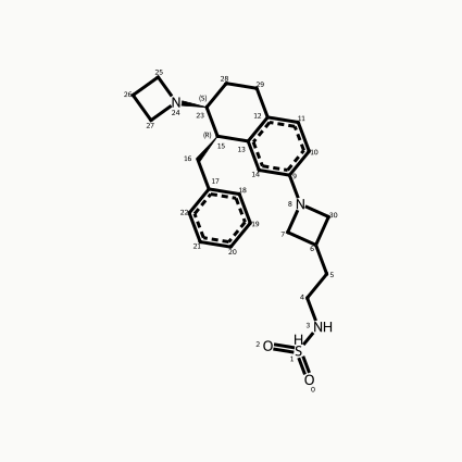 O=[SH](=O)NCCC1CN(c2ccc3c(c2)[C@@H](Cc2ccccc2)[C@@H](N2CCC2)CC3)C1